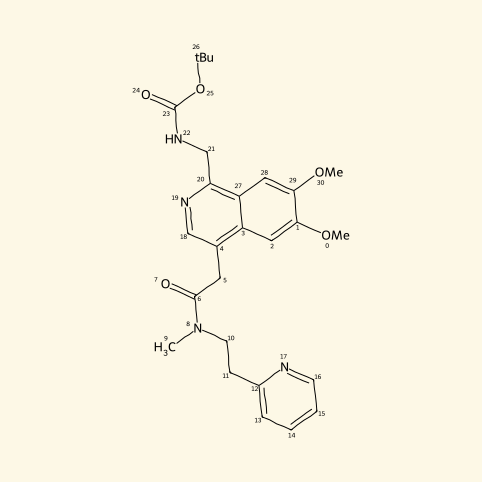 COc1cc2c(CC(=O)N(C)CCc3ccccn3)cnc(CNC(=O)OC(C)(C)C)c2cc1OC